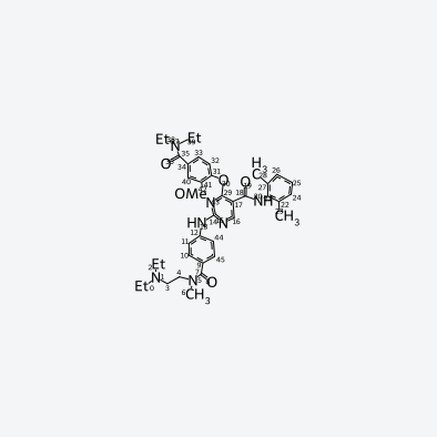 CCN(CC)CCN(C)C(=O)c1ccc(Nc2ncc(C(=O)Nc3c(C)cccc3C)c(Oc3ccc(C(=O)N(CC)CC)cc3OC)n2)cc1